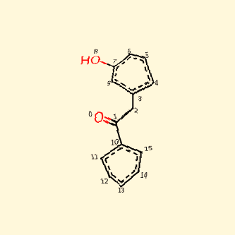 O=C(Cc1cccc(O)c1)c1ccccc1